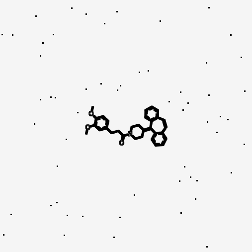 COc1ccc(CCC(=O)N2CCC(=C3c4ccccc4C=Cc4ccccc43)CC2)cc1OC